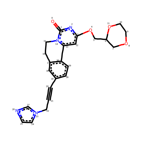 O=c1nc(OCC2COCCO2)cc2n1CCc1cc(C#CCn3ccnc3)ccc1-2